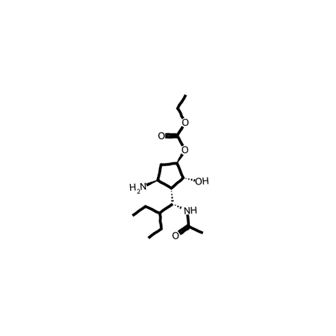 CCOC(=O)O[C@@H]1C[C@H](N)[C@@H]([C@H](NC(C)=O)C(CC)CC)[C@H]1O